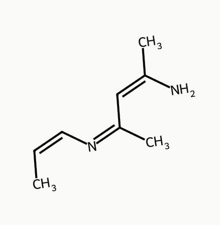 C\C=C/N=C(C)\C=C(\C)N